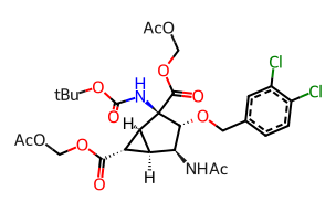 CC(=O)N[C@H]1[C@H]2[C@H](C(=O)OCOC(C)=O)[C@H]2[C@](NC(=O)OC(C)(C)C)(C(=O)OCOC(C)=O)[C@@H]1OCc1ccc(Cl)c(Cl)c1